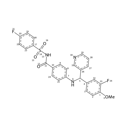 COc1ccc(C(Nc2ccc(C(=O)NS(=O)(=O)c3ccc(F)cc3)cc2)c2cccnc2)cc1F